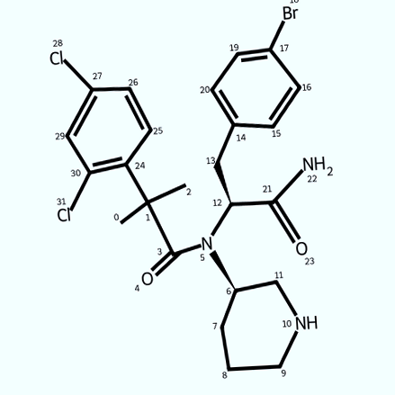 CC(C)(C(=O)N([C@@H]1CCCNC1)[C@@H](Cc1ccc(Br)cc1)C(N)=O)c1ccc(Cl)cc1Cl